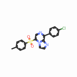 Cc1ccc(S(=O)(=O)c2cnc(-c3ccc(Cl)cc3)c3nccn23)cc1